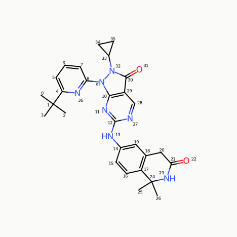 CC(C)(C)c1cccc(-n2c3nc(Nc4ccc5c(c4)CC(=O)NC5(C)C)ncc3c(=O)n2C2CC2)n1